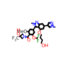 COc1cc(-c2c3c(OCCCCO)cc(-c4cnn(C)c4)cc3nn2C)cc(OC(F)F)c1C(=O)N1CC(O)(C(F)(F)F)C1